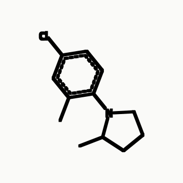 Cc1cc(Cl)ccc1N1CCCC1C